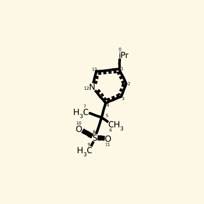 CC(C)c1ccc(C(C)(C)S(C)(=O)=O)nc1